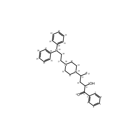 O=C(c1ccccc1)C(O)CC(F)N1CCN(CCN(c2ccccc2)c2ccccc2)CC1